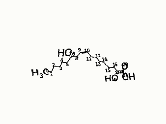 CCCCCC[C@@H](O)C/C=C\CCCCCCC(O)C(=O)O